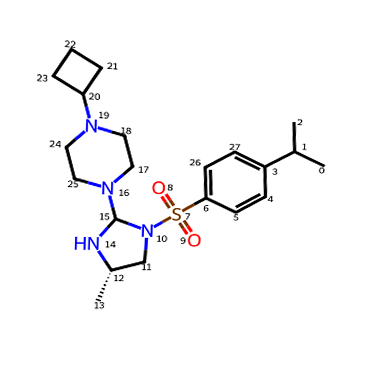 CC(C)c1ccc(S(=O)(=O)N2C[C@H](C)NC2N2CCN(C3CCC3)CC2)cc1